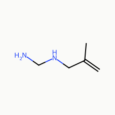 C=C(C)CNCN